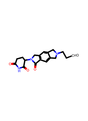 O=CCCN1Cc2cc3c(cc2C1)C(=O)N(C1CCC(=O)NC1=O)C3